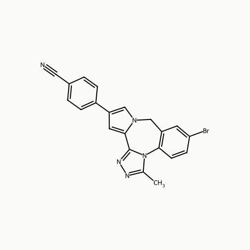 Cc1nnc2n1-c1ccc(Br)cc1Cn1cc(-c3ccc(C#N)cc3)cc1-2